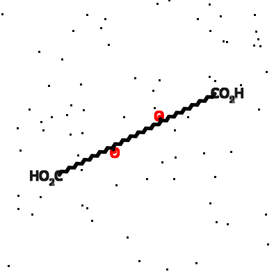 O=C(O)CCCCCCCCCCCCCC(=O)CCCCCCCCCCCCC(=O)CCCCCCCCCCCCCC(=O)O